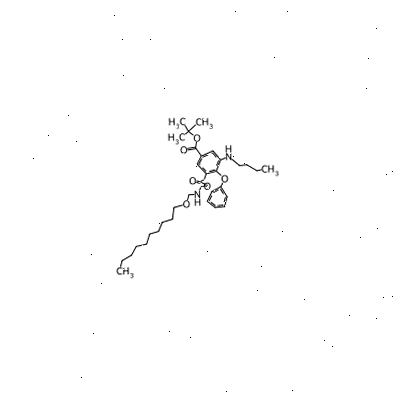 CCCCCCCCCCOCNS(=O)(=O)c1cc(C(=O)OC(C)(C)C)cc(NCCCC)c1Oc1ccccc1